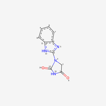 O=C1CN(c2nc3ccccc3[nH]2)C(=O)N1